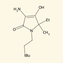 CCC1(C)C(O)=C(N)C(=O)N1CCC(C)(C)C